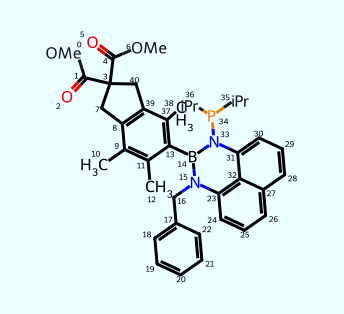 COC(=O)C1(C(=O)OC)Cc2c(C)c(C)c(B3N(Cc4ccccc4)c4cccc5cccc(c45)N3P(C(C)C)C(C)C)c(C)c2C1